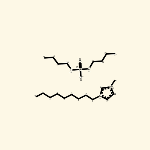 CCCCCCCCCn1cc[n+](C)c1.CCCCOP(=O)([O-])OCCCC